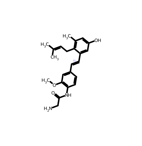 COc1cc(/C=C/c2cc(O)cc(C)c2CC=C(C)C)ccc1NC(=O)CN